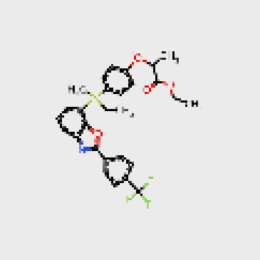 CCOC(=O)C(C)Oc1ccc(S(C)(CC)c2cccc3nc(-c4ccc(C(F)(F)F)cc4)oc23)cc1